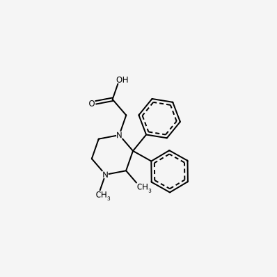 CC1N(C)CCN(CC(=O)O)C1(c1ccccc1)c1ccccc1